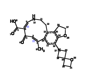 C/C1=C\C(=O)/C(C(=O)O)=C\NCCc2c1cc(N1CC3(CCO3)C1)c1c2CCO1